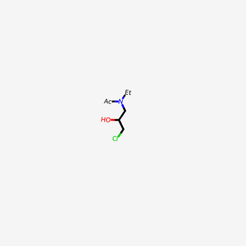 CCN(CC(O)CCl)C(C)=O